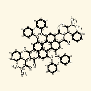 CN(C)C(=O)C(c1cccnc1)N1C(=O)c2cc(Oc3ccccc3)c3c4c(Oc5ccccc5)cc5c6c(cc(Oc7ccccc7)c(c7c(Oc8ccccc8)cc(c2c37)C1=O)c64)C(=O)N(C(C(=O)N(C)C)c1cccnc1)C5=O